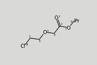 CC(C)OC(=O)COCCCl